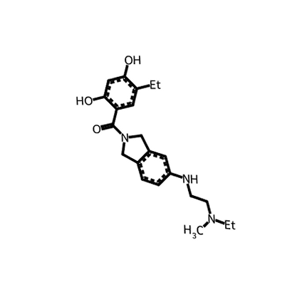 CCc1cc(C(=O)N2Cc3ccc(NCCN(C)CC)cc3C2)c(O)cc1O